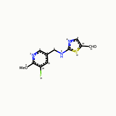 COc1ncc(CNc2ncc(C=O)s2)cc1F